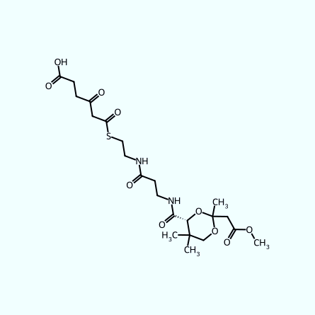 COC(=O)CC1(C)OCC(C)(C)[C@H](C(=O)NCCC(=O)NCCSC(=O)CC(=O)CCC(=O)O)O1